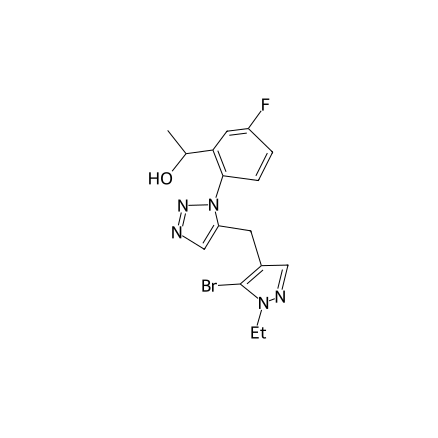 CCn1ncc(Cc2cnnn2-c2ccc(F)cc2C(C)O)c1Br